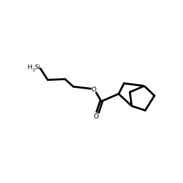 O=C(OCCC[SiH3])C1CC2CCC1C2